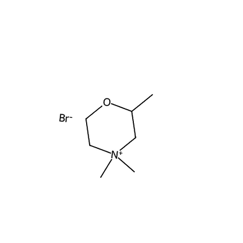 CC1C[N+](C)(C)CCO1.[Br-]